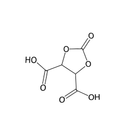 O=C1OC(C(=O)O)C(C(=O)O)O1